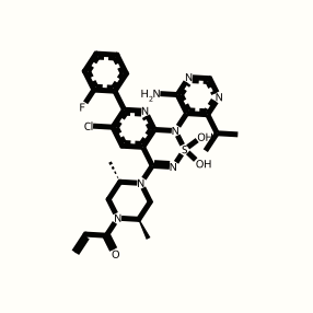 C=CC(=O)N1C[C@H](C)N(C2=NS(O)(O)N(c3c(N)ncnc3C(C)C)c3nc(-c4ccccc4F)c(Cl)cc32)C[C@H]1C